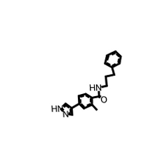 Cc1cc(-c2cn[nH]c2)ccc1C(=O)NCCCc1ccccc1